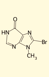 Cn1c(Br)nc2c(=O)[nH]cnc21